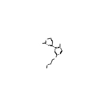 Cc1ccc(OCCCBr)cc1-c1ccnc(N)c1